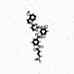 COc1cccc2c1ccn2-c1ccnc(Nc2cc(NC(=O)c3cccc(NC(=O)C=CCN(C)C)c3)ccc2Cl)n1